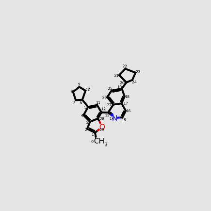 Cc1cc2cc(C3CCCC3)cc(-c3nccc4cc(C5CCCC5)ccc34)c2o1